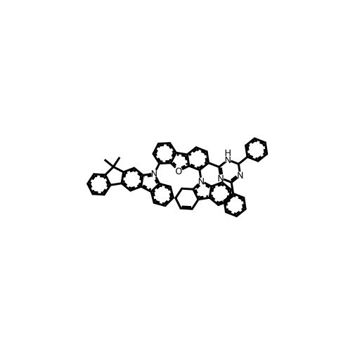 CC1(C)c2ccccc2-c2cc3c4ccccc4n(-c4cccc5c4oc4c(-n6c7c(c8ccccc86)C=CCC7)c(C6=NC(c7ccccc7)=NC(c7ccccc7)N6)ccc45)c3cc21